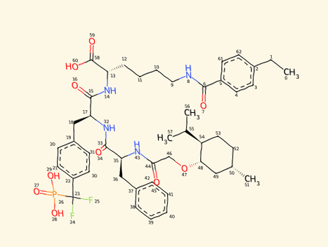 CCc1ccc(C(=O)NCCCC[C@H](NC(=O)[C@H](Cc2ccc(C(F)(F)P(=O)(O)O)cc2)NC(=O)[C@H](Cc2ccccc2)NC(=O)CO[C@H]2C[C@@H](C)CC[C@@H]2C(C)C)C(=O)O)cc1